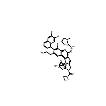 C[C@H](Oc1nc2c(F)c(-c3cccc4cc(F)c(F)cc34)c(CCC#N)cc2c2c1cc(CCC(=O)N1CCC1)n2[C@H]1[C@H]2CN[C@@H]1C2)[C@@H]1CCCN1C